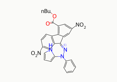 CCCCOC(=O)c1cc([N+](=O)[O-])cc2c1-c1ccc([N+](=O)[O-])cc1/C2=N\N(c1ccccc1)c1ccc[nH]1